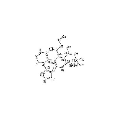 C=CCC1Oc2cccc(-c3ccco3)c2-c2ccc3c(c21)C(C)=CC(C)(C)N3